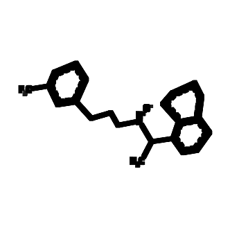 CC(c1cccc2ccccc12)[N@H+]([O-])CCCc1cccc(C(F)(F)F)c1